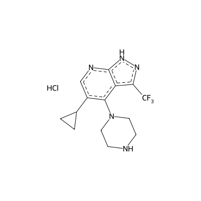 Cl.FC(F)(F)c1n[nH]c2ncc(C3CC3)c(N3CCNCC3)c12